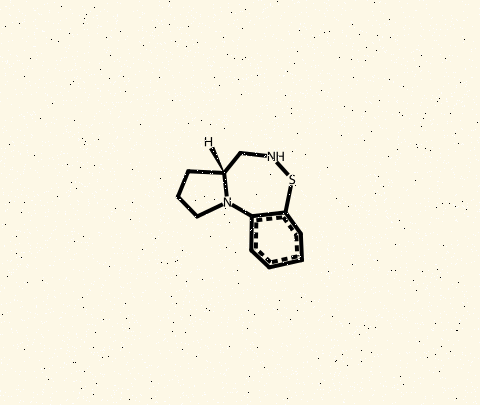 c1ccc2c(c1)SNC[C@H]1CCCN21